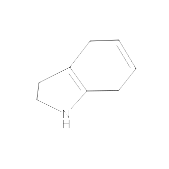 [CH]1CC2=C(CC=CC2)N1